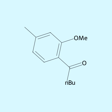 CCCCC(=O)c1ccc(C)cc1OC